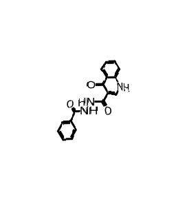 O=C(NNC(=O)c1c[nH]c2ccccc2c1=O)c1ccccc1